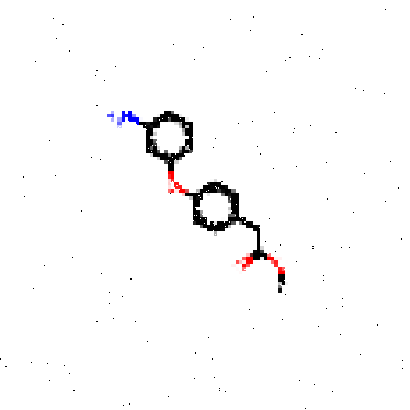 COC(=O)Cc1ccc(Oc2cccc(N)c2)cc1